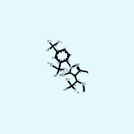 COC(C1C(C)=NN(c2ccc(C(F)(F)F)cc2C(F)(F)F)C1O)C(F)(F)F